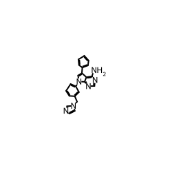 Nc1ncnc2c1c(-c1ccccc1)cn2-c1cccc(Cn2ccnc2)c1